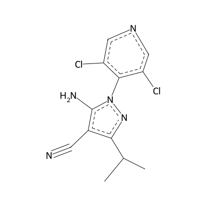 CC(C)c1nn(-c2c(Cl)cncc2Cl)c(N)c1C#N